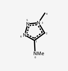 CNc1cn(C)nn1